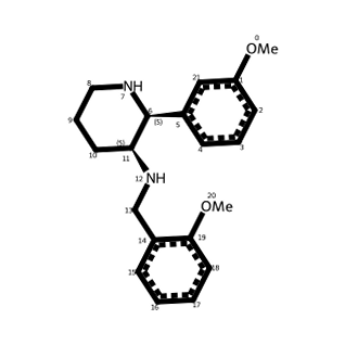 COc1cccc([C@@H]2NCCC[C@@H]2NCc2ccccc2OC)c1